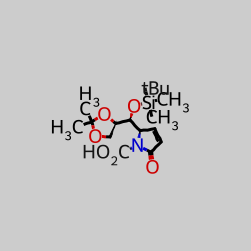 CC1(C)OC[C@H]([C@@H](O[Si](C)(C)C(C)(C)C)[C@H]2C=CC(=O)N2C(=O)O)O1